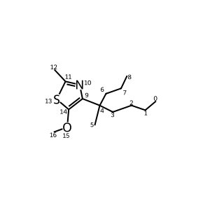 CCCCC(C)(CCC)c1nc(C)sc1OC